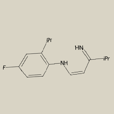 CC(C)C(=N)/C=C\Nc1ccc(F)cc1C(C)C